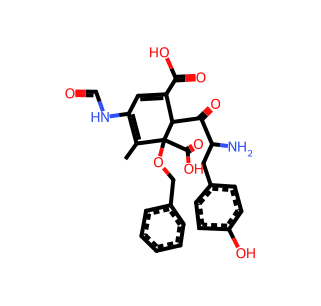 CC1=C(NC=O)C=C(C(=O)O)C(C(=O)C(N)Cc2ccc(O)cc2)C1(OCc1ccccc1)C(=O)O